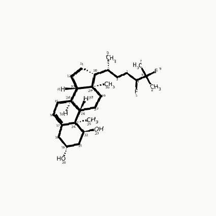 C[C@H](CCC(F)C(C)(C)F)[C@H]1CC[C@H]2[C@@H]3CC=C4C[C@@H](O)C[C@H](O)[C@]4(C)[C@H]3CC[C@]12C